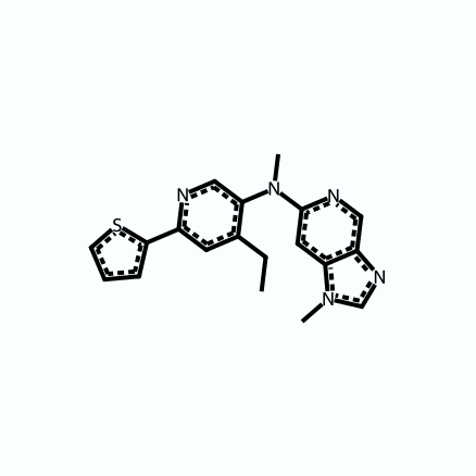 CCc1cc(-c2cccs2)ncc1N(C)c1cc2c(cn1)ncn2C